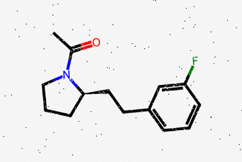 CC(=O)N1CCC[C@@H]1CCc1cccc(F)c1